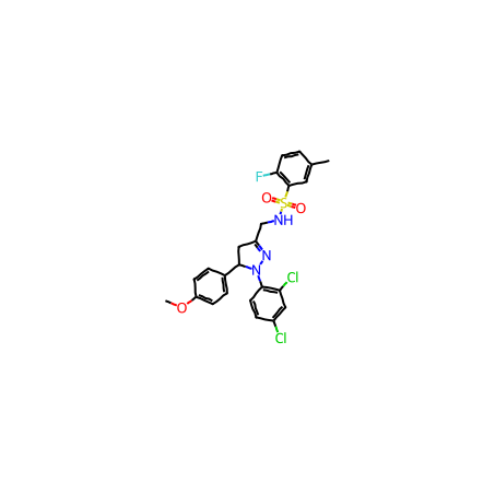 COc1ccc(C2CC(CNS(=O)(=O)c3cc(C)ccc3F)=NN2c2ccc(Cl)cc2Cl)cc1